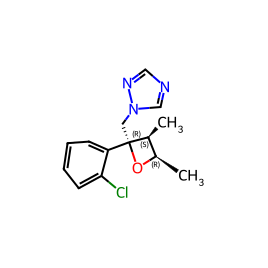 C[C@H]1O[C@@](Cn2cncn2)(c2ccccc2Cl)[C@H]1C